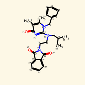 Cc1c(C)n(Cc2ccccc2)c(N(CCN2C(=O)c3ccccc3C2=O)CC(C)C)nc1=O